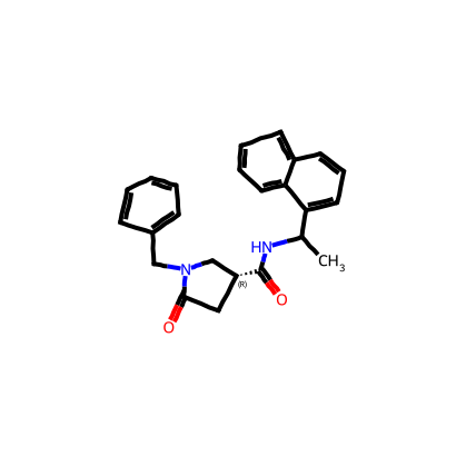 CC(NC(=O)[C@@H]1CC(=O)N(Cc2ccccc2)C1)c1cccc2ccccc12